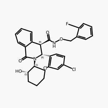 O=C(NOCc1ccccc1F)[C@@H]1c2ccccc2C(=O)N([C@H]2CCCC[C@@H]2O)[C@H]1c1ccc(Cl)cc1Cl